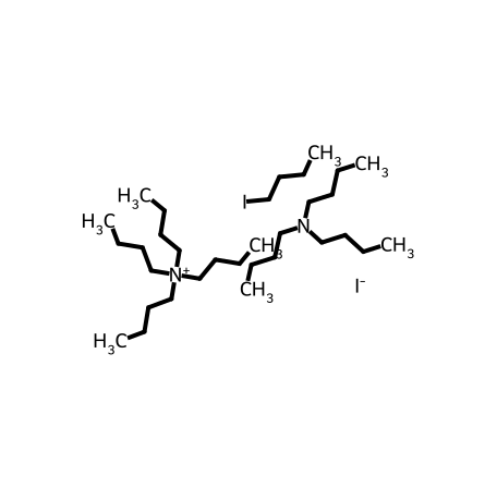 CCCCI.CCCCN(CCCC)CCCC.CCCC[N+](CCCC)(CCCC)CCCC.[I-]